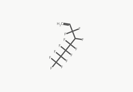 C=CC(F)(F)C(F)C(F)(F)C(F)(F)C(F)(F)C(F)(F)F